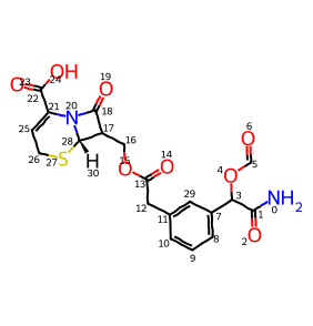 NC(=O)C(OC=O)c1cccc(CC(=O)OCC2C(=O)N3C(C(=O)O)=CCS[C@@H]23)c1